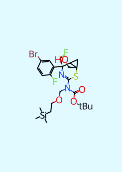 CC(C)(C)OC(=O)N(COCC[Si](C)(C)C)C1=N[C@](CF)(c2cc(Br)ccc2F)C2C[C@]2(CO)S1